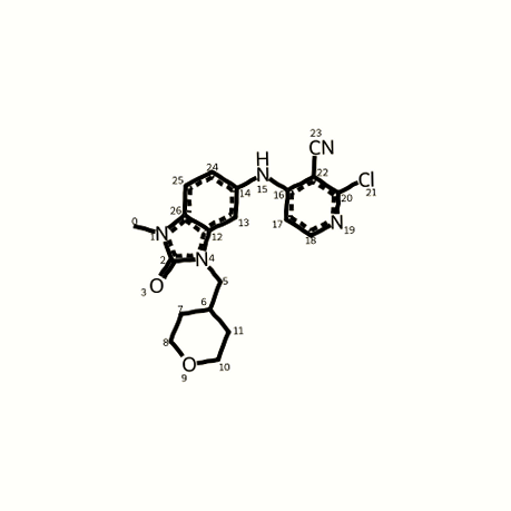 Cn1c(=O)n(CC2CCOCC2)c2cc(Nc3ccnc(Cl)c3C#N)ccc21